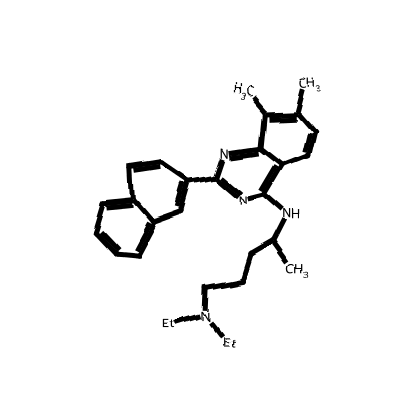 CCN(CC)CCCC(C)Nc1nc(-c2ccc3ccccc3c2)nc2c(C)c(C)ccc12